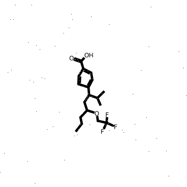 CCCC(CC(c1ccc(C(=O)O)cc1)C(C)C)OCC(F)(F)F